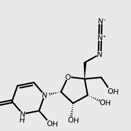 [N-]=[N+]=NC[C@]1(CO)O[C@@H](N2C=CC(=O)NC2O)[C@@H](O)[C@H]1O